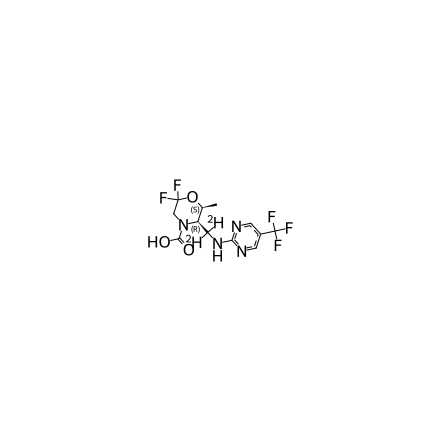 [2H]C([2H])(Nc1ncc(C(F)(F)F)cn1)[C@@H]1[C@H](C)OC(F)(F)CN1C(=O)O